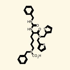 O=C(NCc1ccccc1)NC(CCCCN(Cc1ccccc1)C(=O)O)C(=O)N(Cc1cccs1)Cc1cccs1